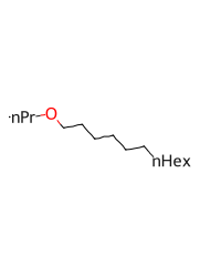 CC[CH]OCCCCCCCCCCCC